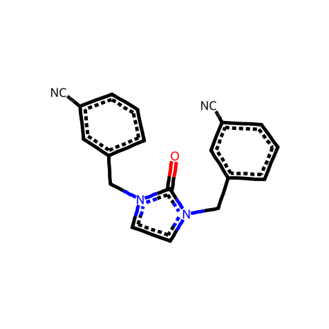 N#Cc1cccc(Cn2ccn(Cc3cccc(C#N)c3)c2=O)c1